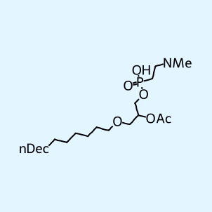 CCCCCCCCCCCCCCCCOCC(COP(=O)(O)CCNC)OC(C)=O